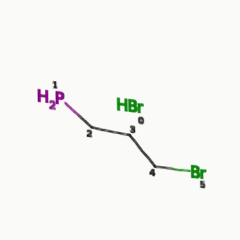 Br.PCCCBr